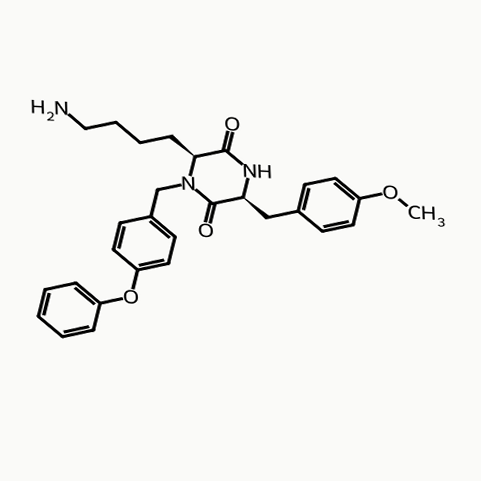 COc1ccc(C[C@@H]2NC(=O)[C@H](CCCCN)N(Cc3ccc(Oc4ccccc4)cc3)C2=O)cc1